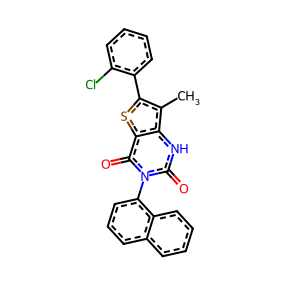 Cc1c(-c2ccccc2Cl)sc2c(=O)n(-c3cccc4ccccc34)c(=O)[nH]c12